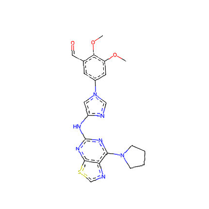 COc1cc(-n2cnc(Nc3nc(N4CCCC4)c4ncsc4n3)c2)cc(C=O)c1OC